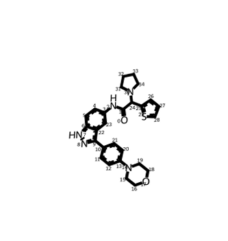 O=C(Nc1ccc2[nH]nc(-c3ccc(N4CCOCC4)cc3)c2c1)C(c1cccs1)N1CCCC1